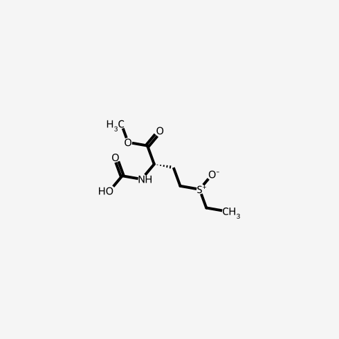 CC[S+]([O-])CC[C@H](NC(=O)O)C(=O)OC